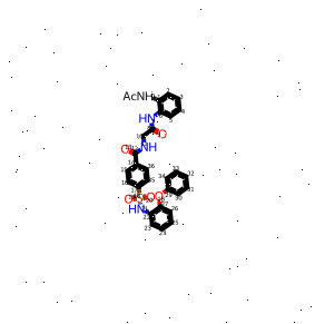 CC(=O)Nc1ccccc1NC(=O)CNC(=O)c1ccc(S(=O)(=O)Nc2ccccc2Oc2ccccc2)cc1